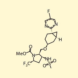 COC(=O)N1[C@H](C(F)(F)F)C[C@H](NS(C)(=O)=O)[C@@H]1CO[C@H]1CC[C@@]2(c3ncc(F)cn3)C[C@H]2C1